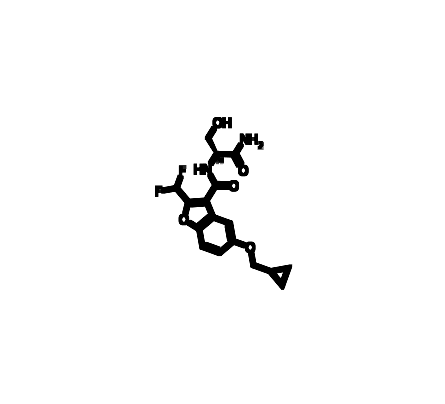 NC(=O)[C@H](CO)NC(=O)c1c(C(F)F)oc2ccc(OCC3CC3)cc12